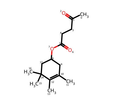 CC(=O)CCC(=O)OC1CC(C)=C(C)C(C)(C)C1